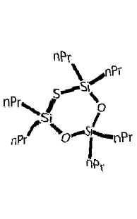 CCC[Si]1(CCC)O[Si](CCC)(CCC)S[Si](CCC)(CCC)O1